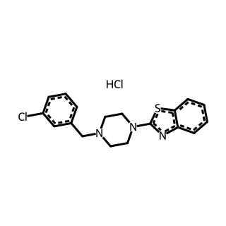 Cl.Clc1cccc(CN2CCN(c3nc4ccccc4s3)CC2)c1